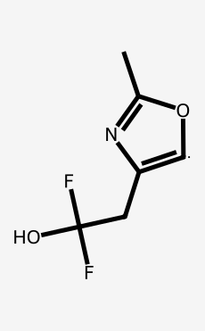 Cc1nc(CC(O)(F)F)[c]o1